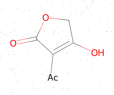 CC(=O)C1=C(O)COC1=O